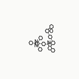 c1ccc(-c2nc(-c3ccccc3)c(-c3ccc(-c4nc5c(-c6ccc(-c7cccc8c7oc7ccccc78)cc6)cccc5c5c4ccc4ccccc45)cc3)c(-c3ccccc3)n2)cc1